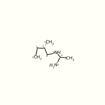 CC[C@H](C)CNC(C)N